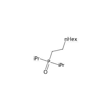 CCCCCCCCP(=O)(C(C)C)C(C)C